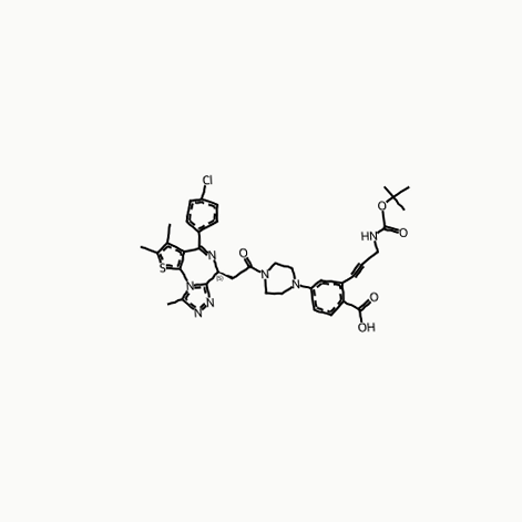 Cc1sc2c(c1C)C(c1ccc(Cl)cc1)=N[C@@H](CC(=O)N1CCN(c3ccc(C(=O)O)c(C#CCNC(=O)OC(C)(C)C)c3)CC1)c1nnc(C)n1-2